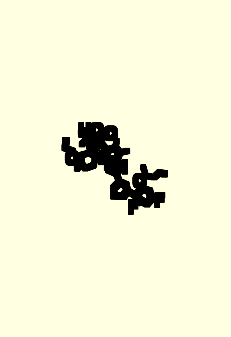 C=CCOC1(C)CCN(c2c(C(OC(C)(C)C)C(=O)O)c(C)c(C)c3nc(-c4cccc(-c5c(F)cc(F)cc5O[C@@H](C)CC=C)c4)cn23)CC1